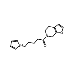 O=C(CCCC[SH]1C=CC=C1)N1CCc2ccoc2C1